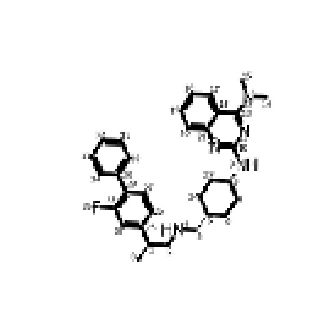 C[C@H](CNC[C@H]1CC[C@@H](Nc2nc(N(C)C)c3ccccc3n2)CC1)c1ccc(-c2ccccc2)c(F)c1